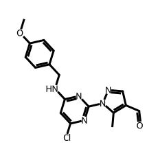 COc1ccc(CNc2cc(Cl)nc(-n3ncc(C=O)c3C)n2)cc1